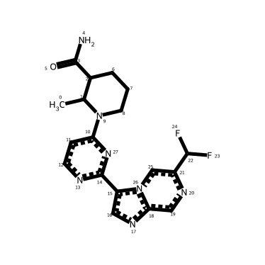 CC1C(C(N)=O)CCCN1c1ccnc(-c2cnc3cnc(C(F)F)cn23)n1